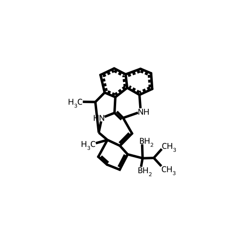 BC(B)(C1=CC=CC2(C)C1=CC1=C3NC2C(C)c2ccc4cccc(c4c23)N1)C(C)C